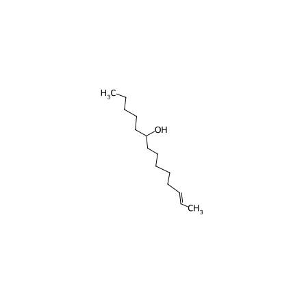 CC=CCCCCCC(O)CCCCC